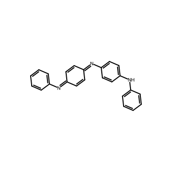 C1=CC(=Nc2ccc(Nc3ccccc3)cc2)C=CC1=Nc1ccccc1